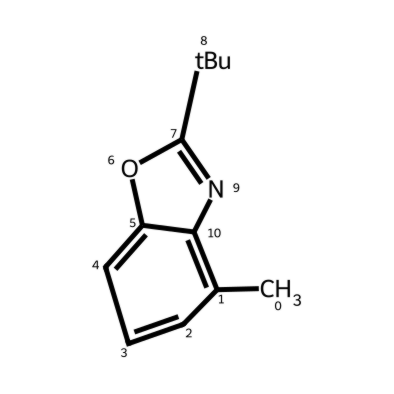 Cc1cccc2oc(C(C)(C)C)nc12